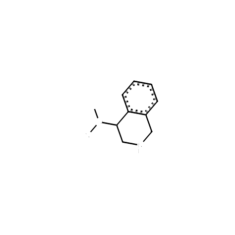 N[S+]([O-])C1CNCc2ccccc21